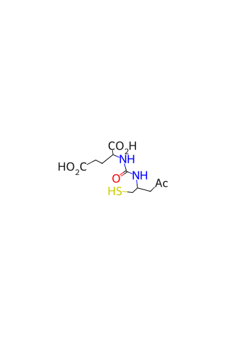 CC(=O)CC(CS)NC(=O)NC(CCC(=O)O)C(=O)O